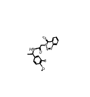 COc1ccc(C(C)NC(=O)Cn2nnc3ccccc3c2=O)cc1F